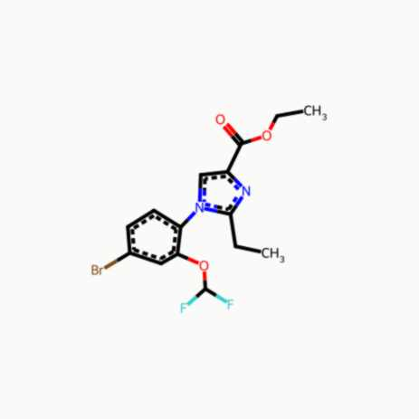 CCOC(=O)c1cn(-c2ccc(Br)cc2OC(F)F)c(CC)n1